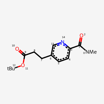 CNC(=O)c1ccc(CCC(=O)OC(C)(C)C)cn1